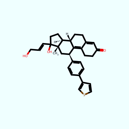 C[C@]12C[C@H](c3ccc(-c4ccsc4)cc3)C3=C4CCC(=O)C=C4CC[C@H]3[C@@H]1CCC2(O)C=CCO